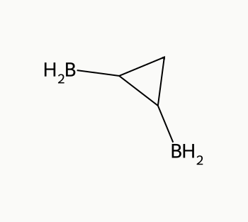 BC1CC1B